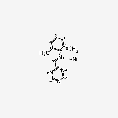 Cc1cccc(C)c1N=Cc1ncncn1.[Ni]